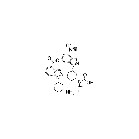 CC(C)(C)N(C(=O)O)[C@@H]1CCC[C@H](n2ncc3c([N+](=O)[O-])cccc32)C1.N[C@@H]1CCC[C@H](n2ncc3c([N+](=O)[O-])cccc32)C1